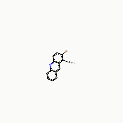 CCCCCc1c(Br)ccc2nc3ccccc3cc12